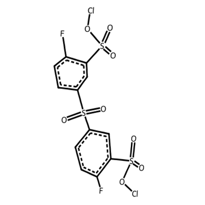 O=S(=O)(OCl)c1cc(S(=O)(=O)c2ccc(F)c(S(=O)(=O)OCl)c2)ccc1F